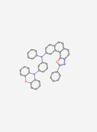 c1ccc(-c2nc3ccc4ccc5ccc(N(c6ccccc6)c6cccc(N7c8ccccc8Oc8ccccc87)c6)cc5c4c3o2)cc1